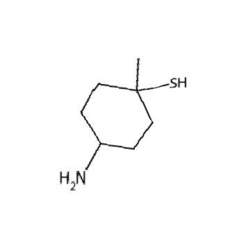 CC1(S)CCC(N)CC1